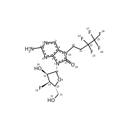 Nc1ncc2c(n1)n([C@@H]1O[C@H](CO)[C@@H](F)[C@H]1O)c(=O)n2CCC(F)(F)C(F)(F)F